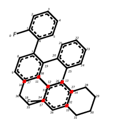 Fc1ccccc1-c1cccc(-c2ccccc2F)c1-c1ccccc1P(C1CCCCC1)C1CCCCC1